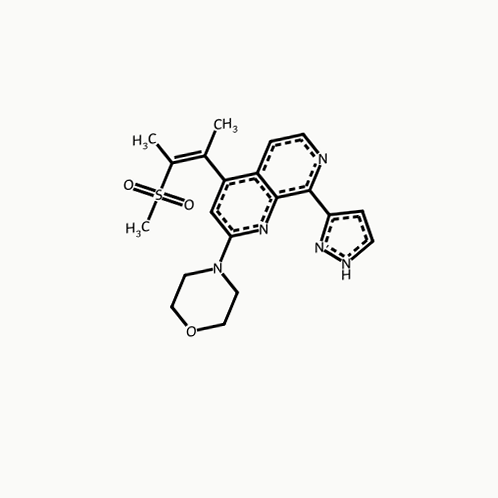 C/C(=C(\C)S(C)(=O)=O)c1cc(N2CCOCC2)nc2c(-c3cc[nH]n3)nccc12